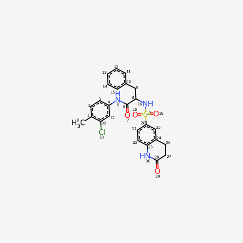 Cc1ccc(NC(=O)C(Cc2ccccc2)NS(=O)(=O)c2ccc3c(c2)CCC(=O)N3)cc1Cl